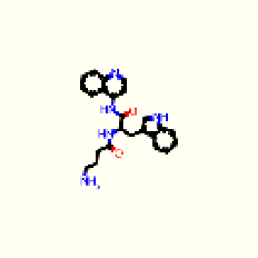 NCCCC(=O)NC(Cc1c[nH]c2ccccc12)C(=O)Nc1ccnc2ccccc12